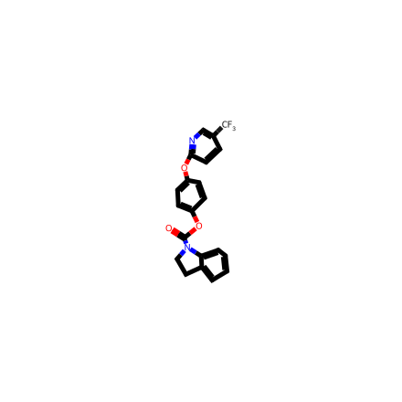 O=C(Oc1ccc(Oc2ccc(C(F)(F)F)cn2)cc1)N1CCc2ccccc21